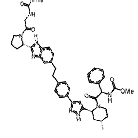 COC(=O)NCC(=O)N1CCC[C@H]1c1nc2cc(CCc3ccc(-c4cc([C@@H]5C[C@@H](C)CCN5C(=O)[C@H](NC(=O)OC)c5ccccc5)[nH]n4)cc3)ccc2[nH]1